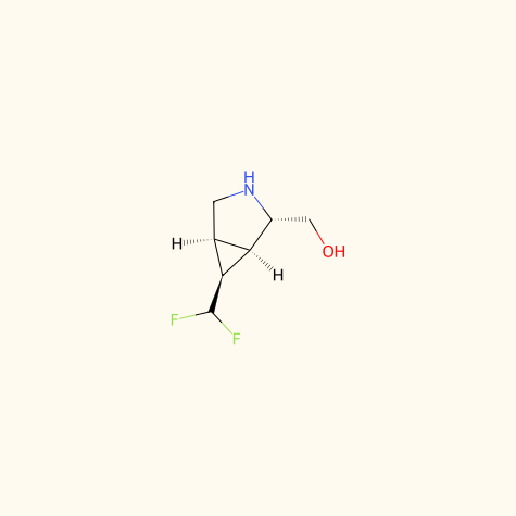 OC[C@H]1NC[C@@H]2[C@H](C(F)F)[C@@H]21